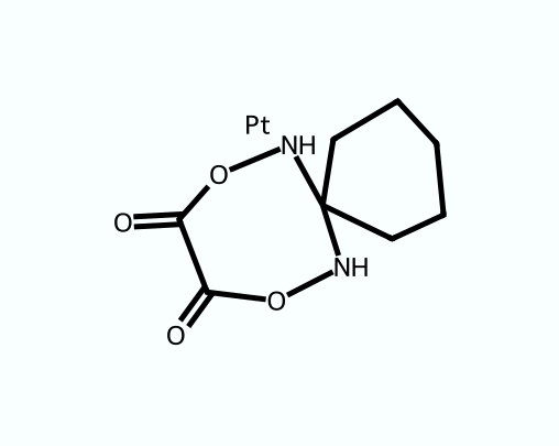 O=C1ONC2(CCCCC2)NOC1=O.[Pt]